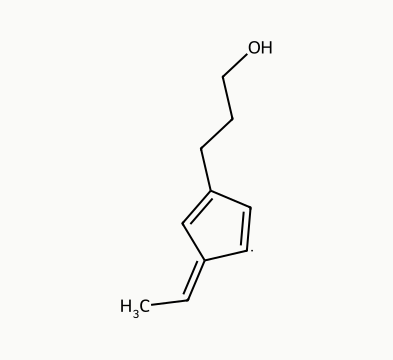 CC=C1[C]=CC(CCCO)=C1